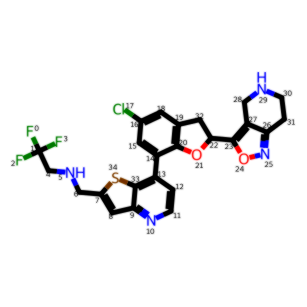 FC(F)(F)CNCc1cc2nccc(-c3cc(Cl)cc4c3OC(c3onc5c3CNCC5)C4)c2s1